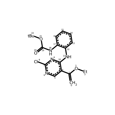 C=C(OCC)c1cnc(Cl)nc1Nc1ccccc1NC(=O)OC(C)(C)C